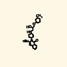 CCCCc1nc2ccccc2c(=O)n1-c1ccc(NCC(O)COC2=CC=CC(C)C2)cc1